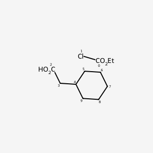 CCOC(=O)Cl.O=C(O)CC1CCCCC1